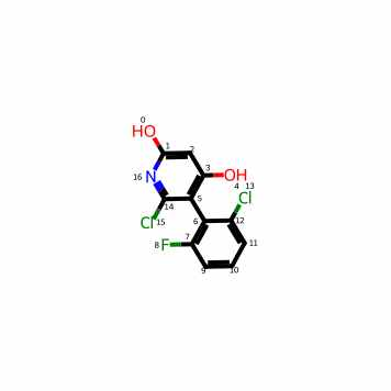 Oc1cc(O)c(-c2c(F)cccc2Cl)c(Cl)n1